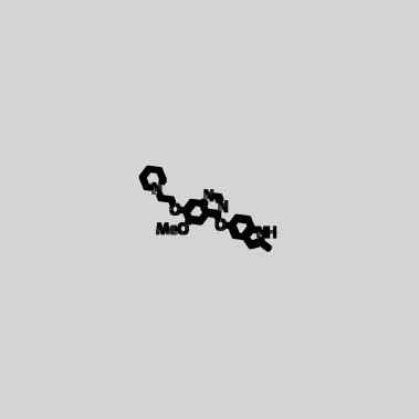 COc1cc2c(Oc3ccc4[nH]c(C)cc4c3)ncnc2cc1OCCN1CCCCC1